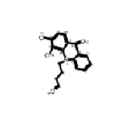 O=CCCCn1c2ccccc2c(=O)c2ccc(Cl)c(Cl)c21